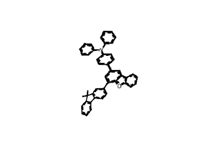 CC1(C)c2ccccc2-c2ccc(-c3cc(-c4ccc(N(c5ccccc5)c5ccccc5)cc4)cc4c3oc3ccccc34)cc21